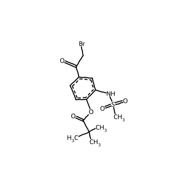 CC(C)(C)C(=O)Oc1ccc(C(=O)CBr)cc1NS(C)(=O)=O